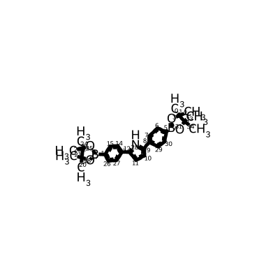 CC1(C)OB(c2ccc(-c3ccc(-c4ccc(B5OC(C)(C)C(C)(C)O5)cc4)[nH]3)cc2)OC1(C)C